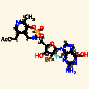 CC(=O)OCc1cnc(C)c2c1CNP(=O)(OC[C@H]1O[C@@H](n3cnc4c(O)nc(N)nc43)[C@@](F)(Br)C1O)O2